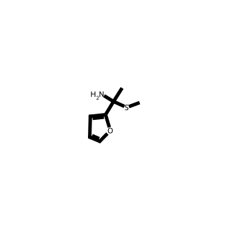 CSC(C)(N)c1ccco1